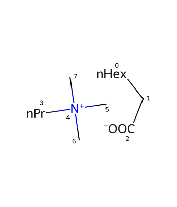 CCCCCCCC(=O)[O-].CCC[N+](C)(C)C